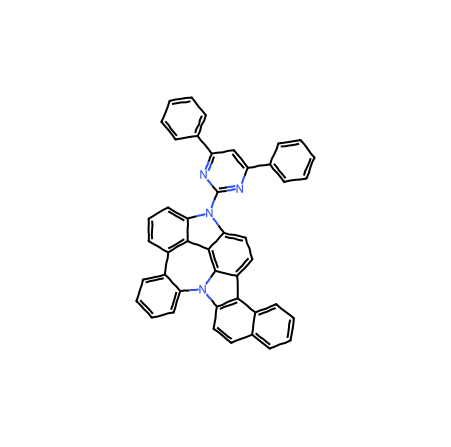 c1ccc(-c2cc(-c3ccccc3)nc(-n3c4cccc5c6ccccc6n6c7ccc8ccccc8c7c7ccc3c(c54)c76)n2)cc1